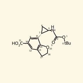 CC(C)(C)OC(=O)N[C@@H]1C[C@H]1c1cc(C(=O)O)cc2c1OCC2